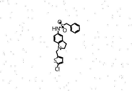 O=S(=O)(Cc1ccccc1)Nc1ccc2c(c1)CCN2Cc1ccc(Cl)s1